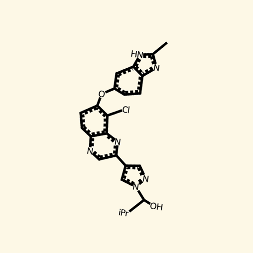 Cc1nc2ccc(Oc3ccc4ncc(-c5cnn(C(O)C(C)C)c5)nc4c3Cl)cc2[nH]1